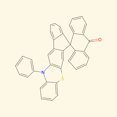 O=C1c2ccccc2C2(c3ccccc31)c1ccccc1-c1cc3c(cc12)Sc1ccccc1N3c1ccccc1